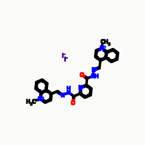 C[n+]1ccc(C=NNC(=O)c2cccc(C(=O)NN=Cc3cc[n+](C)c4ccccc34)n2)c2ccccc21.[I-].[I-]